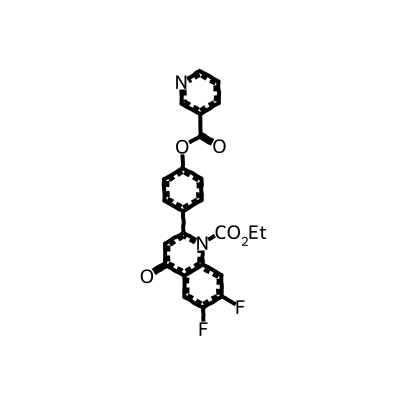 CCOC(=O)n1c(-c2ccc(OC(=O)c3cccnc3)cc2)cc(=O)c2cc(F)c(F)cc21